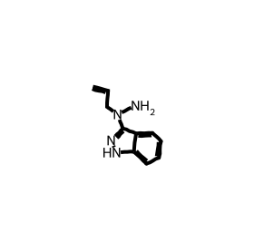 C=CCN(N)c1n[nH]c2ccccc12